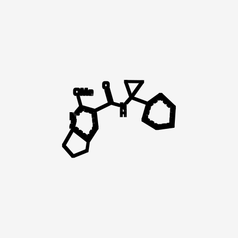 COc1nc2c(cc1C(=O)NC1(c3ccccc3)CC1)CCC2